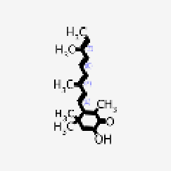 C/C=C(C)/C=C/C=C(C)/C=C/C1=C(C)C(=O)C(O)=CC1(C)C